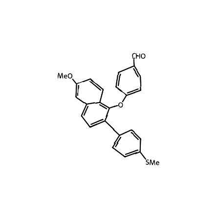 COc1ccc2c(Oc3ccc(C=O)cc3)c(-c3ccc(SC)cc3)ccc2c1